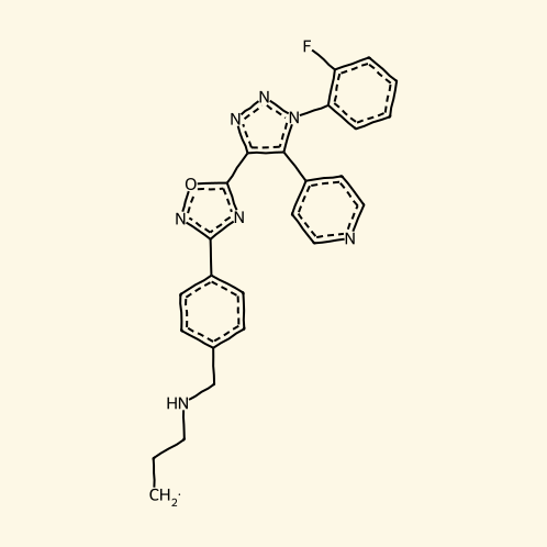 [CH2]CCNCc1ccc(-c2noc(-c3nnn(-c4ccccc4F)c3-c3ccncc3)n2)cc1